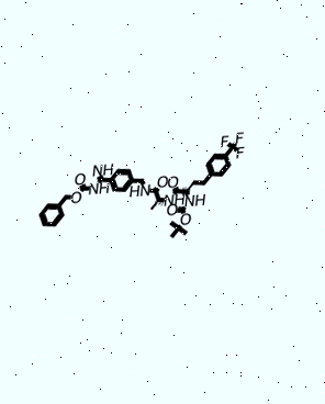 C[C@H](NC(=O)[C@@H](CCc1ccc(C(F)(F)F)cc1)NC(=O)OC(C)(C)C)C(=O)NCc1ccc(C(=N)NC(=O)OCc2ccccc2)cc1